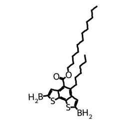 Bc1cc2c(CCCCCC)c(C(=O)OCCCCCCCCCCCC)c3cc(B)sc3c2s1